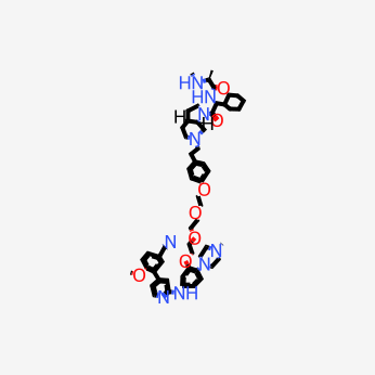 CN[C@@H](C)C(=O)N[C@H](C(=O)N1CC[C@@H]2CCN(CCc3ccc(OCCOCCOCCOc4cc(Nc5cc(-c6cc(C#N)ccc6OC)ccn5)ccc4N4CCN(C)CC4)cc3)C[C@@H]21)C1CCCCC1